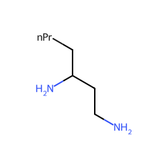 CCCCC(N)CCN